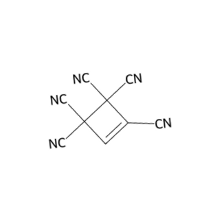 N#CC1=CC(C#N)(C#N)C1(C#N)C#N